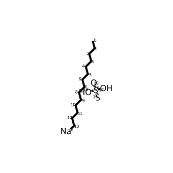 CCCCCCCCCCCCC[CH2][Na].O=S(O)(O)=S